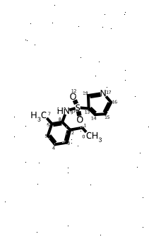 CCc1cccc(C)c1NS(=O)(=O)c1cccnc1